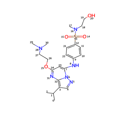 CC(C)c1cnn2c(Nc3ccc(S(=O)(=O)N(C)CCO)cc3)cc(OCCN(C)C)nc12